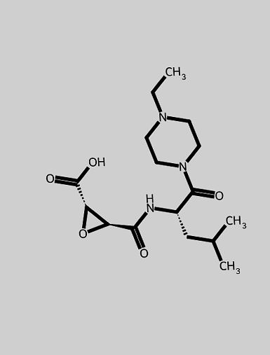 CCN1CCN(C(=O)[C@H](CC(C)C)NC(=O)[C@H]2O[C@@H]2C(=O)O)CC1